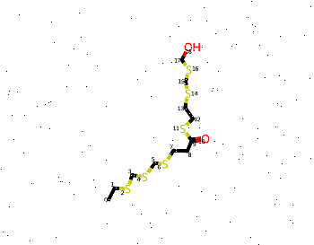 CCSCSCSCCC(=O)SCCSCSCO